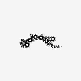 COCCn1c(=O)c2cnc(Nc3ccc(N4CCN(C(=O)c5cc(Cn6c(=O)n(F)c(=O)c7ccccc76)ccc5F)CC4)cc3)nc2n1-c1ccccn1